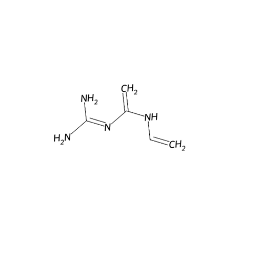 C=CNC(=C)N=C(N)N